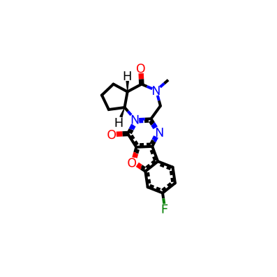 CN1Cc2nc3c(oc4cc(F)ccc43)c(=O)n2[C@@H]2CCC[C@@H]2C1=O